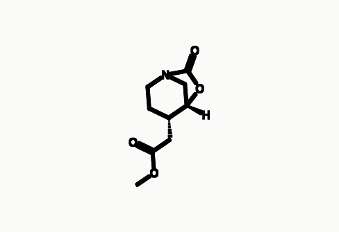 COC(=O)C[C@@H]1CCN2C[C@@H]1OC2=O